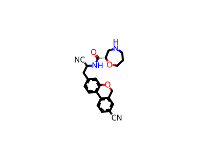 N#Cc1ccc2c(c1)COc1cc(CC(C#N)NC(=O)[C@@H]3CNCCCO3)ccc1-2